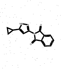 O=C1c2ccccc2C(=O)N1c1cc(C2CC2)[nH]n1